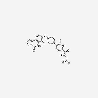 O=C(NCC(F)F)c1ccc(N2CCN(Cc3ccc4c(c3F)NC(=O)C3CCCN43)CC2)c(F)n1